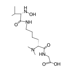 CC(C)[C@H](NO)C(=O)NCCCC[C@H](C(=O)NCC(=O)O)N(C)C